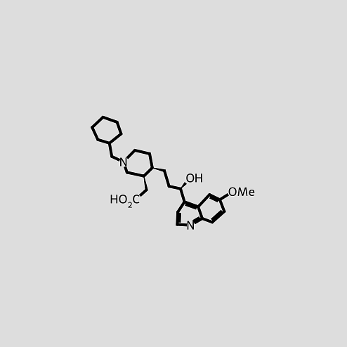 COc1ccc2nccc([C@H](O)CC[C@@H]3CCN(CC4CCCCC4)C[C@@H]3CC(=O)O)c2c1